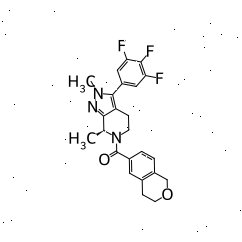 C[C@H]1c2nn(C)c(-c3cc(F)c(F)c(F)c3)c2CCN1C(=O)c1ccc2c(c1)CCOC2